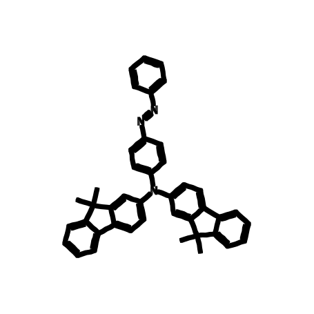 CC1(C)c2ccccc2-c2ccc(N(c3ccc(/N=N/c4ccccc4)cc3)c3ccc4c(c3)C(C)(C)c3ccccc3-4)cc21